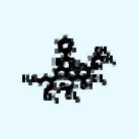 CCCC(CCC)CCC(NC(=O)c1cccnc1)C(=O)N[C@@H](CC(C)C)[C@@H](O)[C@H](O)[C@@H](C)C(=O)NCC(C)C